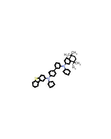 CC1(C)CCC(C)(C)c2cc(N(c3ccccc3)c3cccc(-c4ccc(N(c5ccccc5)c5ccc6sc7ccccc7c6c5)cc4)c3)ccc21